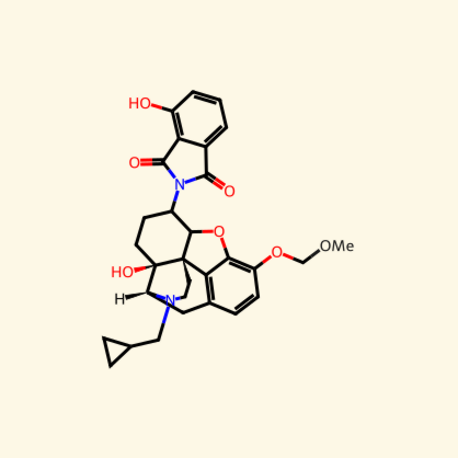 COCOc1ccc2c3c1OC1C(N4C(=O)c5cccc(O)c5C4=O)CC[C@@]4(O)[C@@H](C2)N(CC2CC2)CC[C@]314